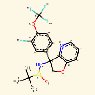 CC(C)(C)[S+]([O-])NC1(c2ccc(OC(F)(F)F)c(F)c2)COc2cccnc21